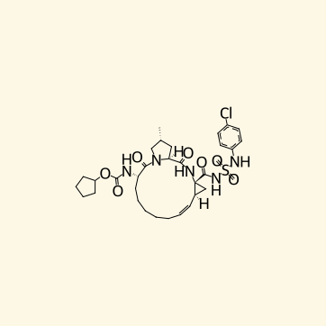 C[C@@H]1C[C@H]2C(=O)N[C@]3(C(=O)NS(=O)(=O)Nc4ccc(Cl)cc4)C[C@H]3/C=C\CCCCC[C@H](NC(=O)OC3CCCC3)C(=O)N2C1